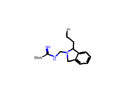 CNC(=N)NCN1Cc2ccccc2C1CCC(C)C